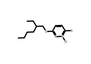 CCCCC(CC)COc1ccc([S])[n+]([O-])n1